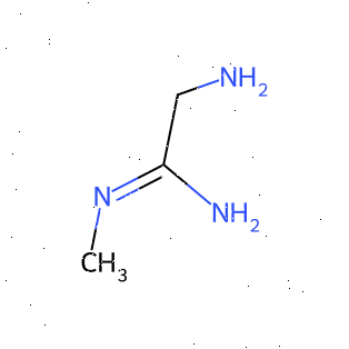 C/N=C(\N)CN